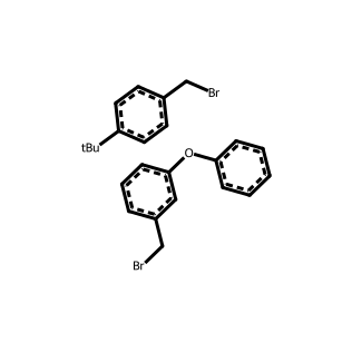 BrCc1cccc(Oc2ccccc2)c1.CC(C)(C)c1ccc(CBr)cc1